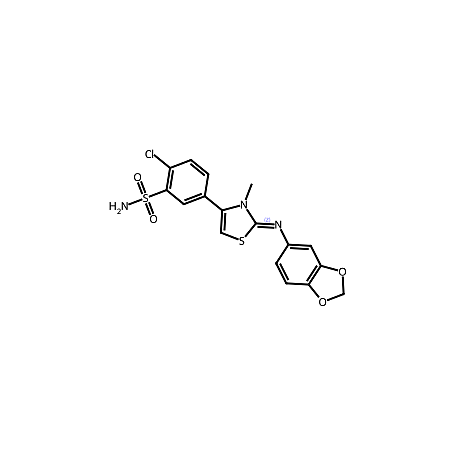 Cn1c(-c2ccc(Cl)c(S(N)(=O)=O)c2)cs/c1=N\c1ccc2c(c1)OCO2